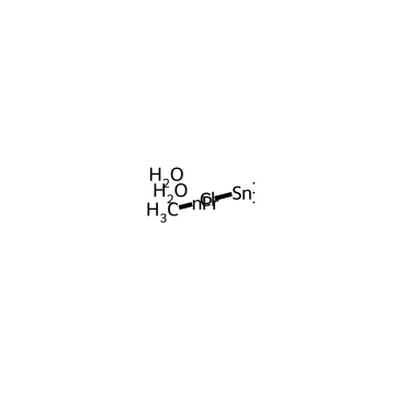 CCCC.O.O.[Cl][Sn]